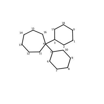 C1CCC(C2(C3CCCCC3)CCCCCC2)CC1